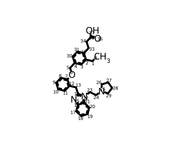 CCc1cc(COc2ccccc2Cc2nc3ccccc3n2CCN2CCCC2)ccc1CCC(=O)O